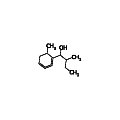 CCC(C)C(O)C1=C=C=CCC1C